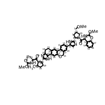 COC[C@H]1C[C@@H](c2ncc(-c3ccc4c(c3)COc3cc5c(cc3-4)CCc3nc([C@@H]4CC[C@H](C)C4C(=O)[C@@H](NC(=O)OC)C(C)C)[nH]c3-5)[nH]2)N(C(=O)[C@H](NC(=O)OC)c2ccccc2)C1